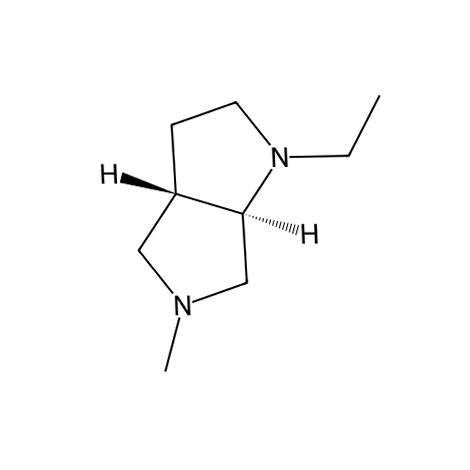 CCN1CC[C@H]2CN(C)C[C@@H]21